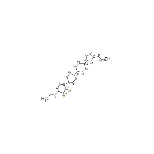 CCCc1ccc(C2CCC(C3CCC(C4CCC(CCC)C4)CC3)CC2)c(F)c1F